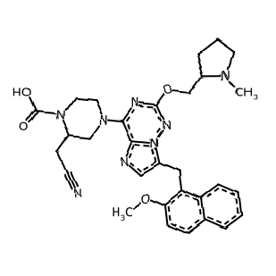 COc1ccc2ccccc2c1Cc1cnc2c(N3CCN(C(=O)O)C(CC#N)C3)nc(OCC3CCCN3C)nn12